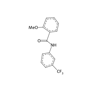 COc1ccccc1C(=O)Nc1cccc(C(F)(F)F)c1